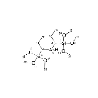 CCC([AsH]C(CC)[Si](OC)(OC)OC)[Si](OC)(OC)OC